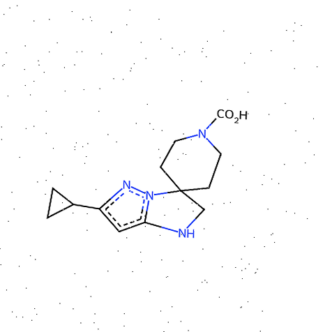 O=C(O)N1CCC2(CC1)CNc1cc(C3CC3)nn12